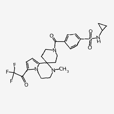 CN1CCn2c(C(=O)C(F)(F)F)ccc2C12CCN(C(=O)c1ccc(S(=O)(=O)NC3CC3)cc1)CC2